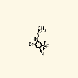 COCCNc1cc(C(F)(F)F)c(C#N)cc1Br